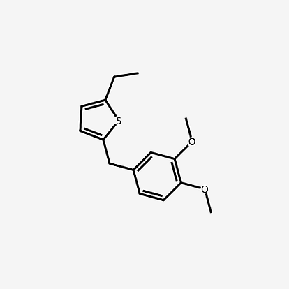 CCc1ccc(Cc2ccc(OC)c(OC)c2)s1